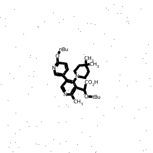 CCCCOc1ccc(-c2cnc(C)c(C(OC(C)(C)C)C(=O)O)c2N2CCC(C)(C)CC2)cn1